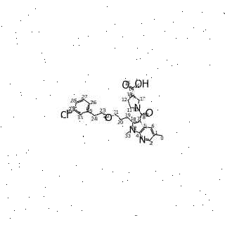 Cc1cnc2c(c1)c(C(=O)N1CC[C@H](C(=O)O)C1)c(CCCOCCc1cccc(Cl)c1)n2C